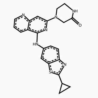 O=C1CN(c2cc3ncccc3c(Nc3ccc4nc(C5CC5)sc4c3)n2)CCN1